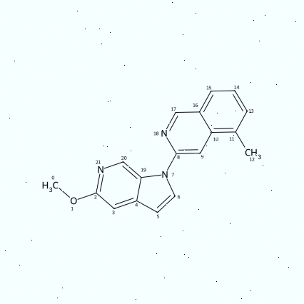 COc1cc2ccn(-c3cc4c(C)cccc4cn3)c2cn1